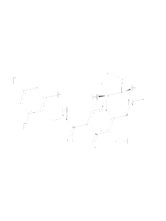 CCN1C(=O)c2c(O)c(=O)c(C(=O)NCc3c(F)cc(F)cc3F)cn2[C@@H]2COC[C@@H]21